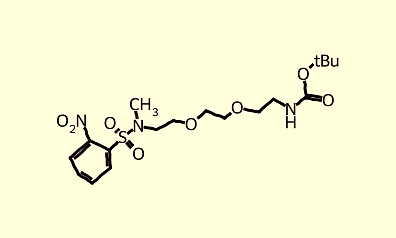 CN(CCOCCOCCNC(=O)OC(C)(C)C)S(=O)(=O)c1ccccc1[N+](=O)[O-]